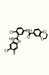 O=C(Nc1ccc(Cl)c(-c2nc3cc(F)c(Cl)cc3[nH]2)c1)c1ccc2c(c1)OCCO2